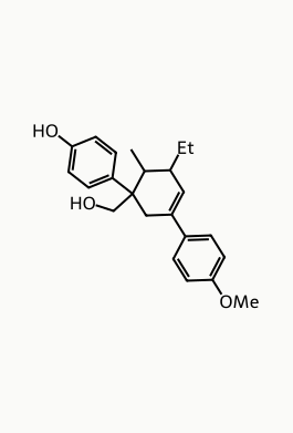 CCC1C=C(c2ccc(OC)cc2)CC(CO)(c2ccc(O)cc2)C1C